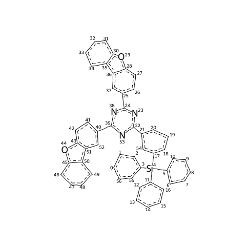 c1ccc([Si](c2ccccc2)(c2ccccc2)c2cccc(-c3nc(-c4ccc5oc6ccccc6c5c4)nc(-c4ccc5oc6ccccc6c5c4)n3)c2)cc1